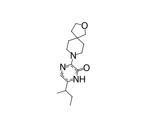 CCC(C)c1cnc(N2CCC3(CCOC3)CC2)c(=O)[nH]1